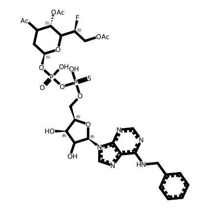 CC(=O)OC[C@H](F)C1O[C@@H](OP(=O)(O)OP(O)(=S)OC[C@H]2O[C@@H](n3cnc4c(NCc5ccccc5)ncnc43)C(O)[C@H]2O)CC(C(C)=O)[C@@H]1OC(C)=O